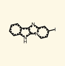 Ic1ccn2c(c1)nc1c3ccccc3[nH]c12